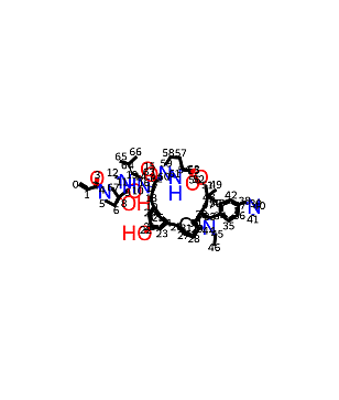 C=CC(=O)N1CC[C@@](O)(C(=O)N(C)[C@H](C(=O)N[C@H]2Cc3cc(O)cc(c3)-c3ccc4c(c3)c(c(-c3ccc(CN(C)C)cc3)n4CC)CC(C)(C)COCC3(C=O)CCCN(N3)C2=O)C(C)C)C1